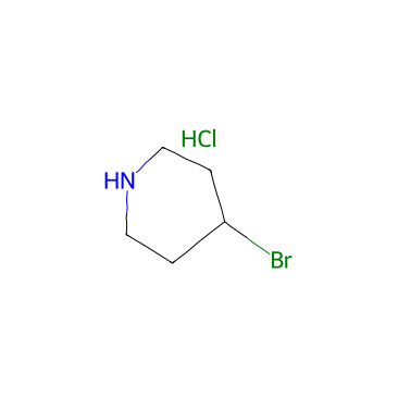 BrC1CCNCC1.Cl